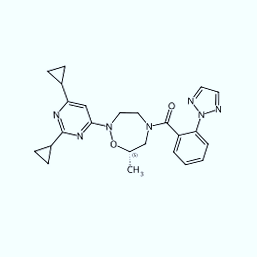 C[C@H]1CN(C(=O)c2ccccc2-n2nccn2)CCN(c2cc(C3CC3)nc(C3CC3)n2)O1